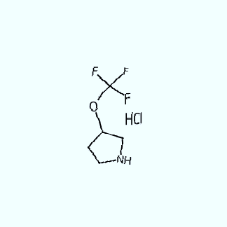 Cl.FC(F)(F)OC1CCNC1